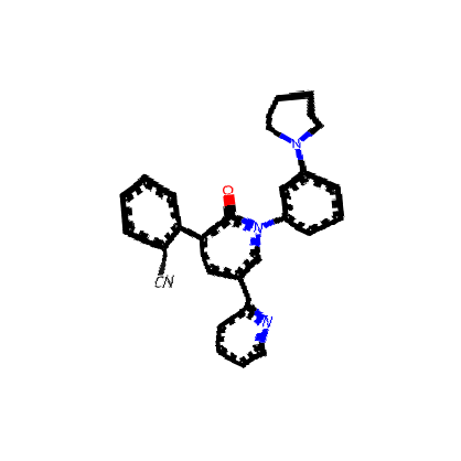 N#Cc1ccccc1-c1cc(-c2ccccn2)cn(-c2cccc(N3CCCC3)c2)c1=O